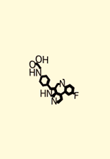 CN1Cc2c(C3=CCC(NCC(=O)O)CC3)[nH]c3nccc(c23)-c2cc(F)ccc21